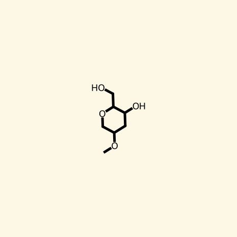 COC1COC(CO)C(O)C1